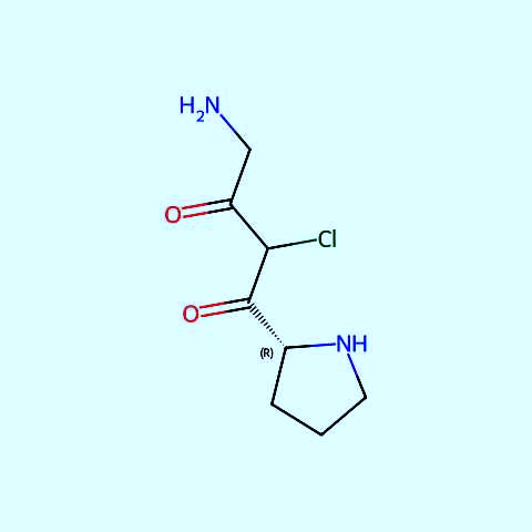 NCC(=O)C(Cl)C(=O)[C@H]1CCCN1